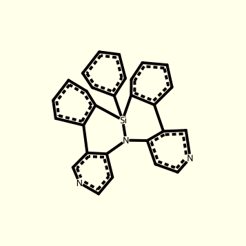 c1ccc([Si]23c4ccccc4-c4cnccc4N2c2ccncc2-c2ccccc23)cc1